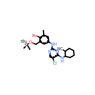 Cc1cc(Nc2ncc(Cl)c(NC3CCCCC3C#N)n2)cc(CO[Si](C)(C)C(C)(C)C)c1Br